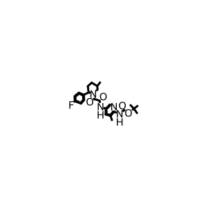 Cc1cc(NC(=O)C(=O)N2CC(C)CCC2c2ccc(F)cc2)cnc1NC(=O)OC(C)(C)C